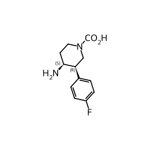 N[C@H]1CCN(C(=O)O)C[C@H]1c1ccc(F)cc1